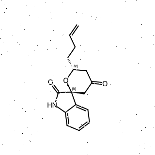 C=CCC[C@@H]1CC(=O)C[C@]2(O1)C(=O)Nc1ccccc12